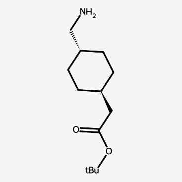 CC(C)(C)OC(=O)C[C@H]1CC[C@H](CN)CC1